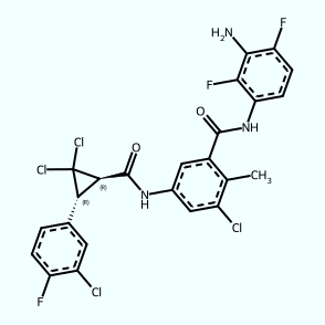 Cc1c(Cl)cc(NC(=O)[C@H]2[C@H](c3ccc(F)c(Cl)c3)C2(Cl)Cl)cc1C(=O)Nc1ccc(F)c(N)c1F